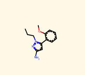 CCCn1nc(N)cc1-c1ccccc1OC